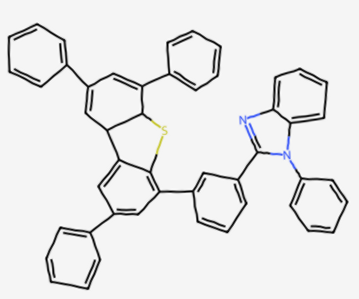 C1=C(c2ccccc2)C=C(c2ccccc2)C2Sc3c(-c4cccc(-c5nc6ccccc6n5-c5ccccc5)c4)cc(-c4ccccc4)cc3C12